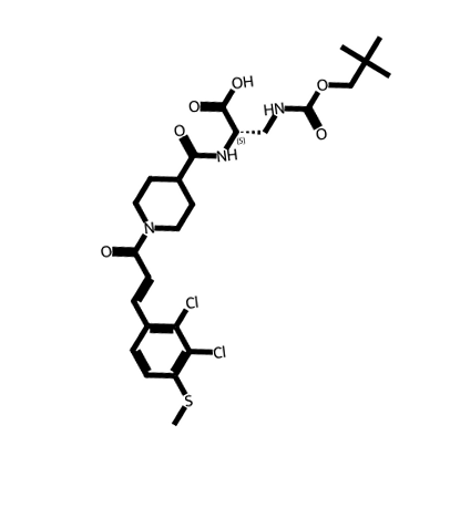 CSc1ccc(C=CC(=O)N2CCC(C(=O)N[C@@H](CNC(=O)OCC(C)(C)C)C(=O)O)CC2)c(Cl)c1Cl